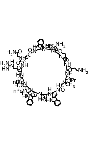 CCCCC[C@H]1C(=O)N(C)[C@@H](CCCC)C(=O)N[C@@H](CCCNC(=N)N)C(=O)N[C@H](C(=O)NCC(N)=O)CSCC(=O)N[C@@H](Cc2ccccc2)C(=O)N(C)[C@@H](C)C(=O)N[C@@H](CC(N)=O)C(=O)N2CCC[C@H]2C(=O)N[C@@H](CCCCN)C(=O)N[C@@H](CC(C)C)C(=O)N(C)CC(=O)N[C@@H](Cc2c[nH]c3ccccc23)C(=O)N[C@@H](CO)C(=O)N[C@@H](Cc2c[nH]c3ccccc23)C(=O)N1C